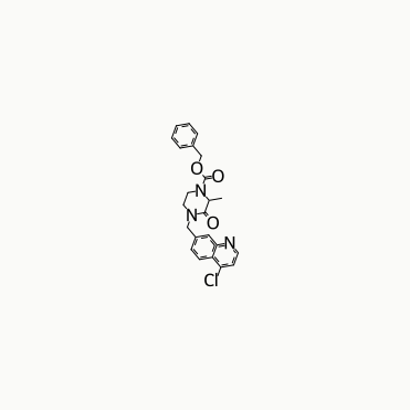 CC1C(=O)N(Cc2ccc3c(Cl)ccnc3c2)CCN1C(=O)OCc1ccccc1